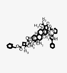 CC(C)C1=C2[C@H]3CC[C@@H]4[C@@]5(C)CC[C@H](OC(=O)[C@H]6C[C@@H](C(=O)OCc7ccccc7)C6(C)C)C(C)(C)[C@@H]5CC[C@@]4(C)[C@]3(C)CCC2(NC(=O)N2CCC[C@H]2c2ncc(-c3ccccc3)[nH]2)CC1=O